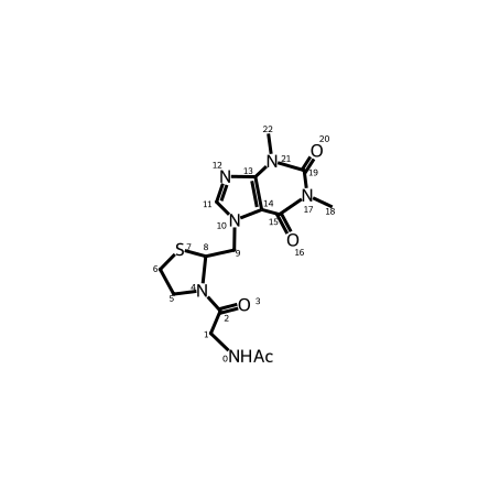 CC(=O)NCC(=O)N1CCSC1Cn1cnc2c1c(=O)n(C)c(=O)n2C